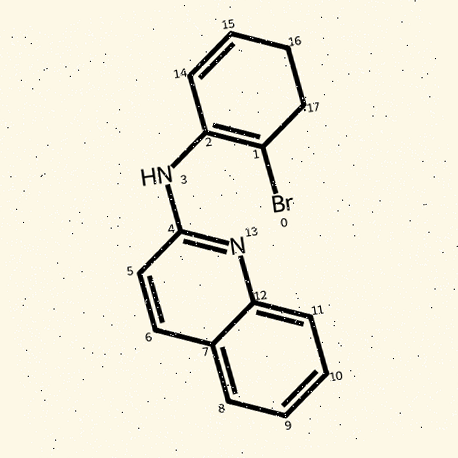 BrC1=C(Nc2ccc3ccccc3n2)C=CC[CH]1